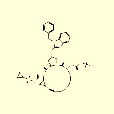 CC(C)(C)OC(=O)N[C@H]1CCCCC/C=C\[C@@H]2C[C@@]2(C(=O)NS(=O)(=O)C2CC2)NC(=O)[C@@H]2C[C@@H](Oc3nc4ccccc4n3Cc3ccccc3)CN2C1=O